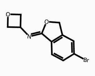 Brc1ccc2c(c1)CO/C2=N\C1COC1